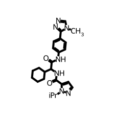 CC(C)n1nccc1C(=O)NC(C(=O)Nc1ccc(-c2nncn2C)cc1)C1CCCCC1